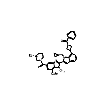 CC[C@@H]1CCCN(C(=O)c2cc(OC)c3c(c2)nc(-c2cc4cccc(C5CN(C(=O)c6ccccc6)C5)c4n2CC2CC2)n3C)C1